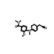 C=Nc1cc(C(=S)N(C)C)ccc1N(C)C1=CC=C(CC#N)CC1